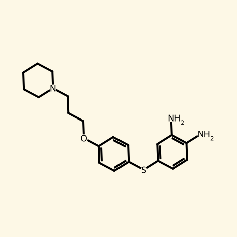 Nc1ccc(Sc2ccc(OCCCN3CCCCC3)cc2)cc1N